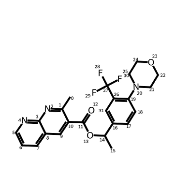 Cc1nc2ncccc2cc1C(=O)OC(C)c1ccc(N2CCOCC2)c(C(F)(F)F)c1